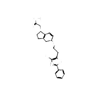 Cc1nc(-c2ccccc2)oc1CCOC1C=CC2=C(CC[C@H]2CC(=O)O)C1